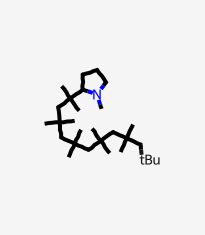 CN1CCCC1C(C)(C)CC(C)(C)CC(C)(C)CC(C)(C)CC(C)(C)CC(C)(C)C